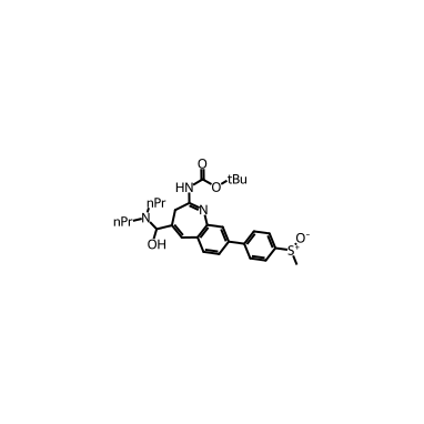 CCCN(CCC)C(O)C1=Cc2ccc(-c3ccc([S+](C)[O-])cc3)cc2N=C(NC(=O)OC(C)(C)C)C1